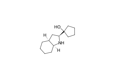 OC1([C@@H]2C[C@@H]3CCCC[C@@H]3N2)CCCC1